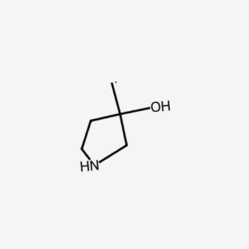 [CH2]C1(O)CCNC1